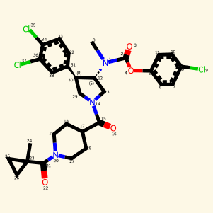 CN(C(=O)Oc1ccc(Cl)cc1)[C@@H]1CN(C(=O)C2CCN(C(=O)C3(C)CC3)CC2)C[C@H]1c1ccc(Cl)c(Cl)c1